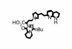 CCCCC(=O)N1CCCCC1C(=O)NC(CCN1CCC(CCc2ccc3c(n2)NCCC3)C1)C(=O)O